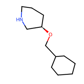 C1CCC(CO[C@@H]2CCCNC2)CC1